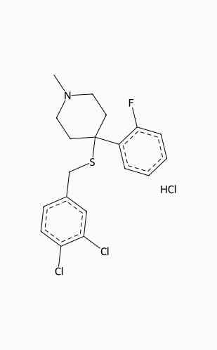 CN1CCC(SCc2ccc(Cl)c(Cl)c2)(c2ccccc2F)CC1.Cl